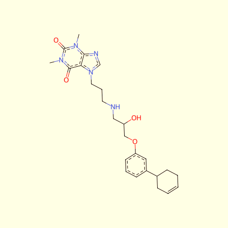 Cn1c(=O)c2c(ncn2CCCNCC(O)COc2cccc(C3CC=CCC3)c2)n(C)c1=O